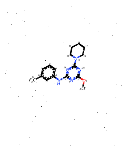 CCOc1nc(Nc2cccc(C(F)(F)F)c2)nc(N2CCCCC2)n1